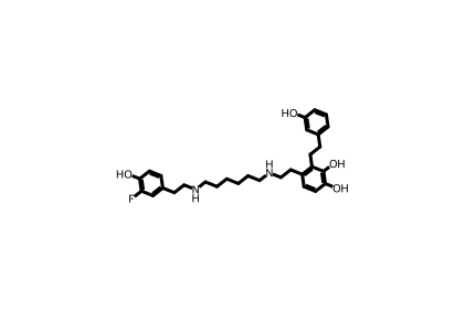 Oc1cccc(CCc2c(CCNCCCCCCNCCc3ccc(O)c(F)c3)ccc(O)c2O)c1